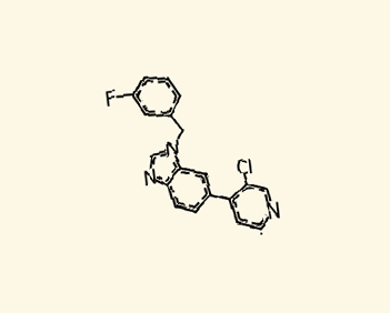 Fc1cccc(Cn2cnc3ccc(-c4c[c]ncc4Cl)cc32)c1